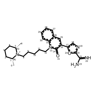 C[C@@H]1CCC[C@H](C)N1CCCCCn1c(=O)c(-c2cnc(C(=N)N)o2)cc2ccccc21